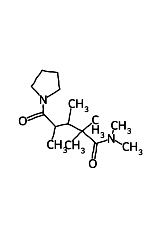 CC(C(=O)N1CCCC1)C(C)C(C)(C)C(=O)N(C)C